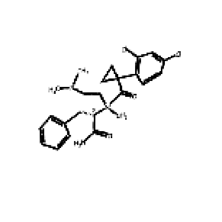 CN(C)CC[N+](C)(C(=O)C1(c2ccc(Cl)cc2Cl)CC1)[C@@H](Cc1ccccc1)C(N)=O